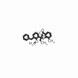 CCC(CC)(Pc1c(C)cccc1C=O)c1cccc(Cc2ccccc2)c1OC